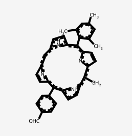 Bc1c2nc(c(-c3c(C)cc(C)cc3C)c3ccc(cc4nc(c(-c5ccc(C=O)cc5)c5ccc1[nH]5)C=C4)[nH]3)C=C2